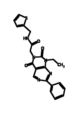 CCn1c(=O)n(CC(=O)NCc2cccs2)c(=O)c2cnc(-c3ccccc3)nc21